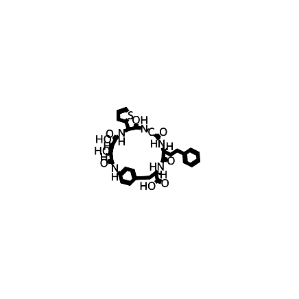 O=C1CNC(=O)C(C2CC=CS2)NC(=O)[C@H](O)[C@@H](O)C(=O)Nc2ccc(cc2)C[C@@H](C(=O)O)NC(=O)[C@H](CCc2ccccc2)N1